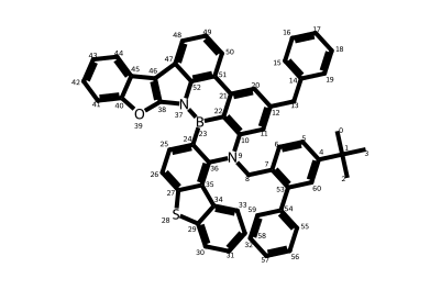 CC(C)(C)c1ccc(CN2c3cc(Cc4ccccc4)cc4c3B(c3ccc5sc6ccccc6c5c32)n2c3oc5ccccc5c3c3cccc-4c32)c(-c2ccccc2)c1